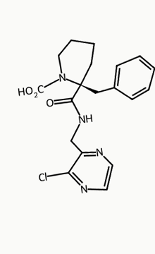 O=C(O)N1CCCC[C@]1(Cc1ccccc1)C(=O)NCc1nccnc1Cl